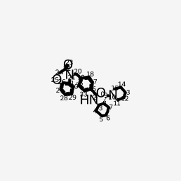 O=C(N[C@@H]1CCCC[C@H]1CN1CCCCC1)c1ccc(CN2C(=O)COc3ccccc32)cc1